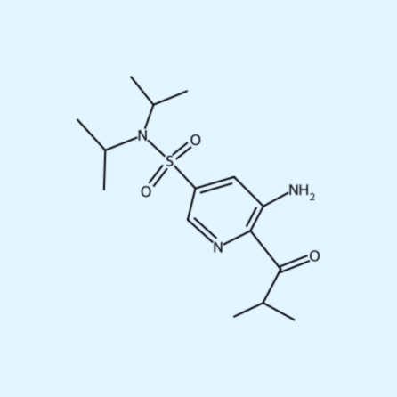 CC(C)C(=O)c1ncc(S(=O)(=O)N(C(C)C)C(C)C)cc1N